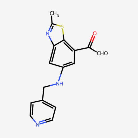 Cc1nc2cc(NCc3ccncc3)cc(C(=O)C=O)c2s1